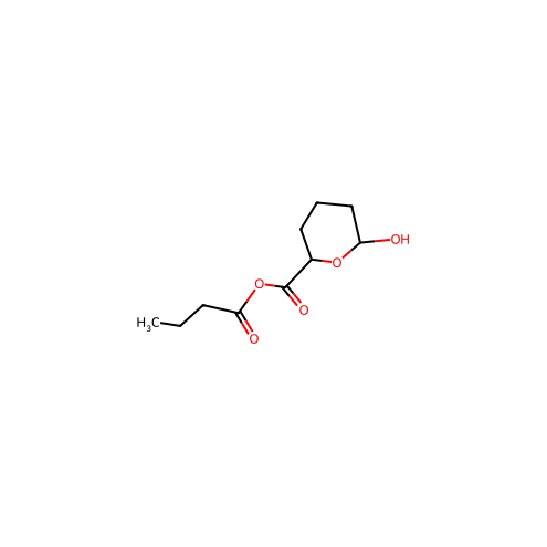 CCCC(=O)OC(=O)C1CCCC(O)O1